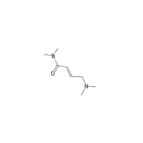 CB(C)C(=O)/C=C/CN(C)C